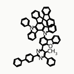 Cc1c(-c2ccccc2)nc(-c2ccc(-c3ccccc3)cc2)nc1-c1ccc(-n2c3ccccc3c3c4c(c5c(c6ccccc6n5-c5ccccc5)c32)-c2ccccc2C42c3ccccc3-c3ccccc32)c2c1oc1ccccc12